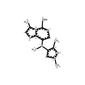 CSc1ncc(N(C)c2cn(C)nc2C)c2ncc(C)n12